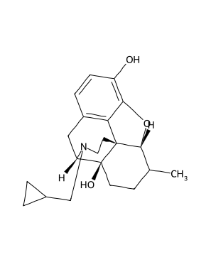 CC1CC[C@]2(O)[C@@H]3Cc4ccc(O)c5c4[C@]2(CCN3CC2CC2)[C@@H]1O5